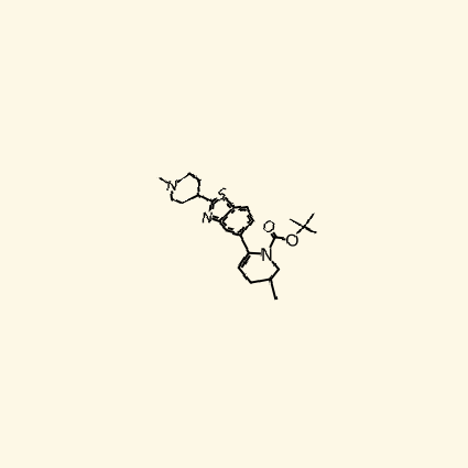 CC1CC=C(c2ccc3sc(C4CCN(C)CC4)nc3c2)N(C(=O)OC(C)(C)C)C1